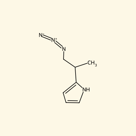 CC(CN=[N+]=[N-])c1ccc[nH]1